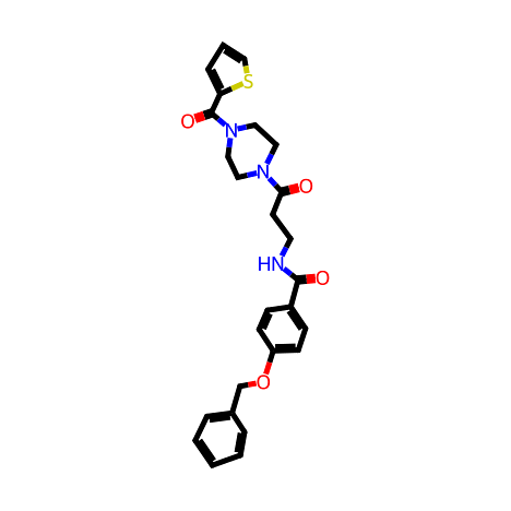 O=C(NCCC(=O)N1CCN(C(=O)c2cccs2)CC1)c1ccc(OCc2ccccc2)cc1